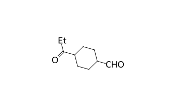 CCC(=O)C1CCC(C=O)CC1